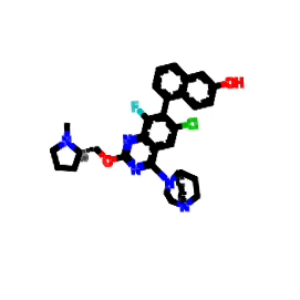 CN1CCC[C@H]1COc1nc(N2CCN3CCC2CC3)c2cc(Cl)c(-c3cccc4cc(O)ccc34)c(F)c2n1